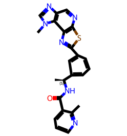 Cc1ncccc1C(=O)N[C@@H](C)c1cccc(-c2nc3c(ncc4ncn(C)c43)s2)c1